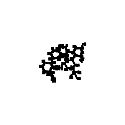 Cc1cc(F)cc(-c2cnc3ccc(-c4cccc(C#N)c4O)cc3c2N2CCN(C(C)(C)C)CC2)c1